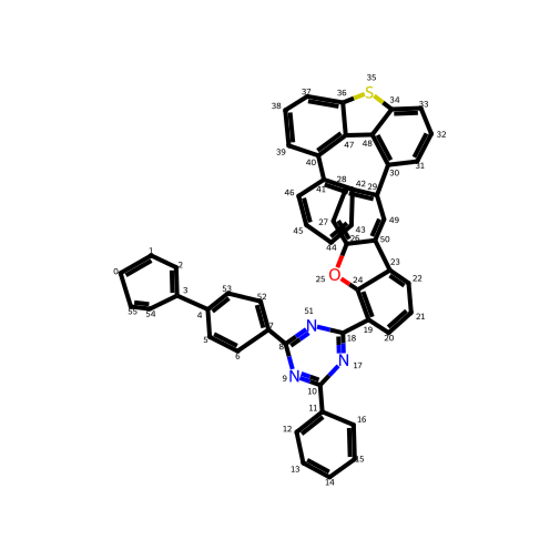 c1ccc(-c2ccc(-c3nc(-c4ccccc4)nc(-c4cccc5c4oc4ccc(-c6cccc7sc8cccc(-c9ccccc9)c8c67)cc45)n3)cc2)cc1